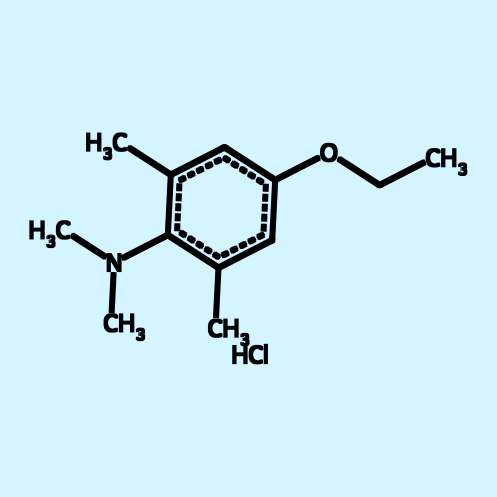 CCOc1cc(C)c(N(C)C)c(C)c1.Cl